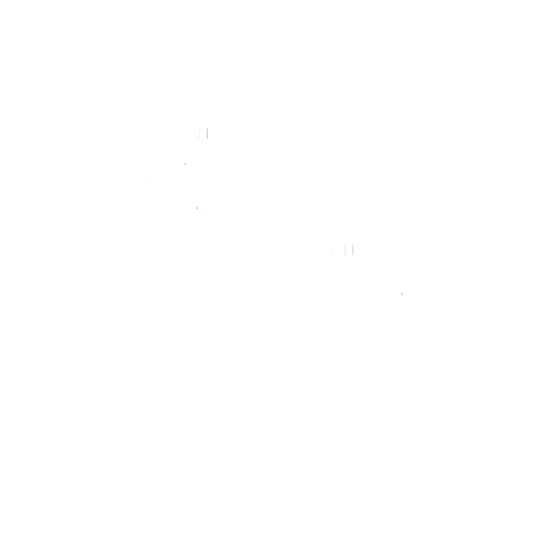 CC1CCC(C(C)C)C(C(O)CO)C1.O=C(O)O